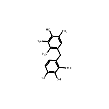 Cc1cc(Cc2ccc(O)c(O)c2C(=O)O)c(C)c(C)c1O